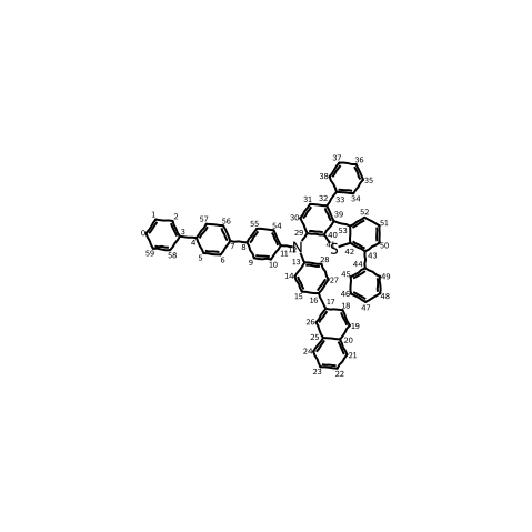 c1ccc(-c2ccc(-c3ccc(N(c4ccc(-c5ccc6ccccc6c5)cc4)c4ccc(-c5ccccc5)c5c4sc4c(-c6ccccc6)cccc45)cc3)cc2)cc1